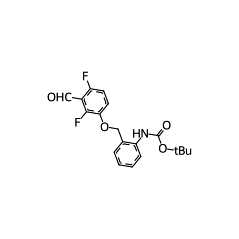 CC(C)(C)OC(=O)Nc1ccccc1COc1ccc(F)c(C=O)c1F